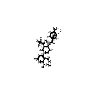 CNc1nc(C)cc(N2CCc3c(c(C(F)(F)F)nn3CC34CCC(N)(CC3)CC4)C2)c1C=N